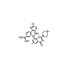 Cc1cc([C@@H](C)Nc2ccc(Cl)nc2-c2ccc(B(O)O)cc2)c2oc(N3CCC(C)(C)CC3)c(C)c(=O)c2c1